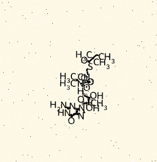 CCC(C)(C)C(=O)SCCOP(=O)(NC(C)(C)C)OC[C@H]1O[C@@H](n2cnc3c(=O)[nH]c(N)nc32)[C@](C)(O)[C@@H]1O